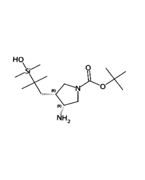 CC(C)(C)OC(=O)N1C[C@@H](CC(C)(C)[Si](C)(C)O)[C@@H](N)C1